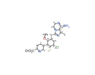 CCOC(=O)c1ccc(-c2c(F)c(Cl)cc(Cc3nc(C)c4c(N)nccn34)c2OC(C)C)cn1